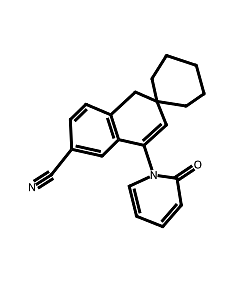 N#Cc1ccc2c(c1)C(n1ccccc1=O)=CC1(CCCCC1)C2